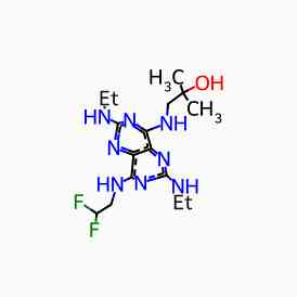 CCNc1nc(NCC(C)(C)O)c2nc(NCC)nc(NCC(F)F)c2n1